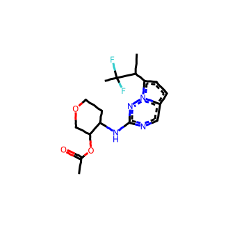 CC(=O)OC1COCCC1Nc1ncc2ccc(C(C)C(C)(F)F)n2n1